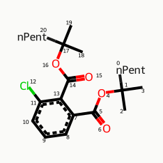 CCCCCC(C)(C)OC(=O)c1cccc(Cl)c1C(=O)OC(C)(C)CCCCC